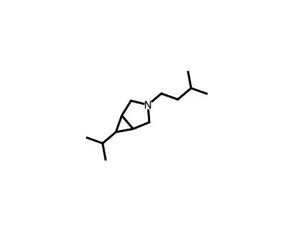 CC(C)CCN1CC2C(C1)C2C(C)C